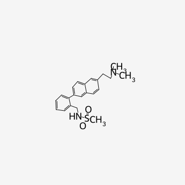 CN(C)CCc1ccc2cc(-c3ccccc3CNS(C)(=O)=O)ccc2c1